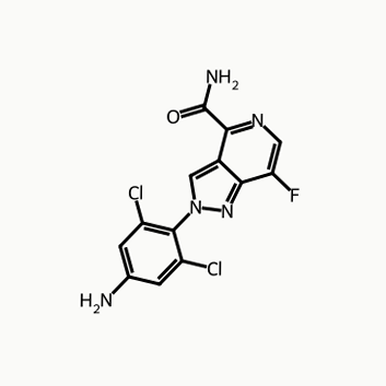 NC(=O)c1ncc(F)c2nn(-c3c(Cl)cc(N)cc3Cl)cc12